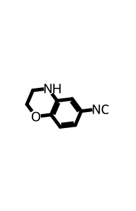 [C-]#[N+]c1ccc2c(c1)NCCO2